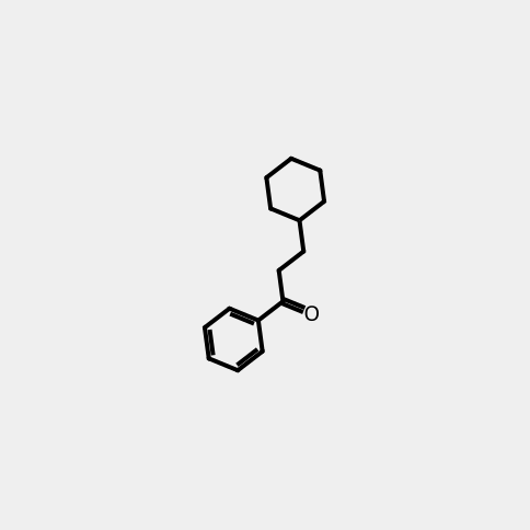 O=C(CCC1CCCCC1)c1ccccc1